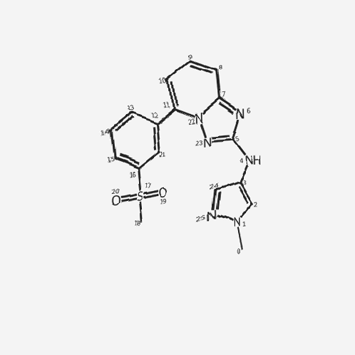 Cn1cc(Nc2nc3cccc(-c4cccc(S(C)(=O)=O)c4)n3n2)cn1